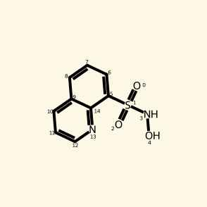 O=S(=O)(NO)c1cccc2cccnc12